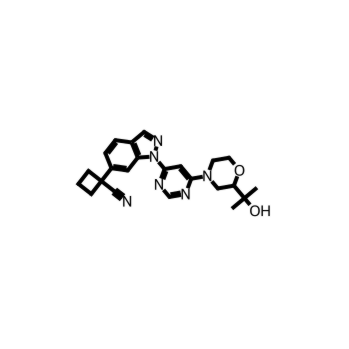 CC(C)(O)C1CN(c2cc(-n3ncc4ccc(C5(C#N)CCC5)cc43)ncn2)CCO1